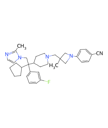 Cc1nccn1CC(c1cccc(F)c1)(C1CCCC1)C1CCN(CC2(C)CN(c3ccc(C#N)cc3)C2)CC1